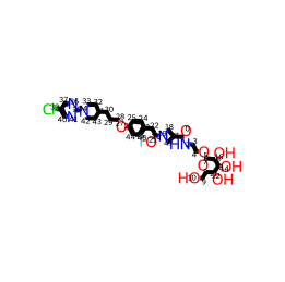 O=C(NCCOC1OC(CO)C(O)C(O)C1O)C1CN(C(=O)Cc2ccc(OCCCC3CCN(c4ncc(Cl)cn4)CC3)cc2F)C1